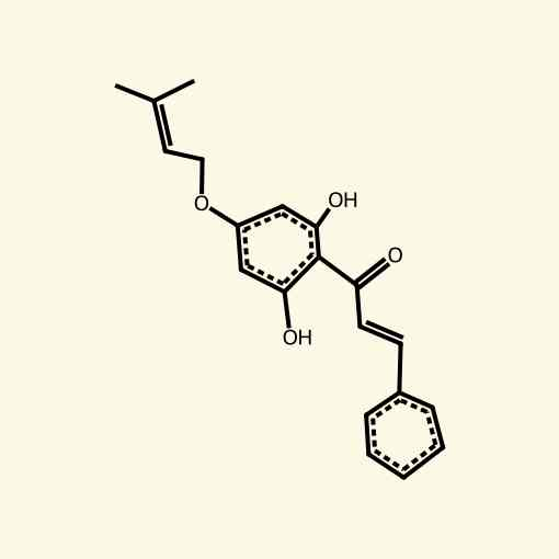 CC(C)=CCOc1cc(O)c(C(=O)C=Cc2ccccc2)c(O)c1